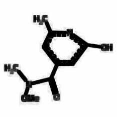 CON(C)C(=O)c1cc(C)nc(O)c1